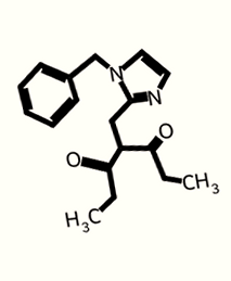 CCC(=O)C(Cc1nccn1Cc1ccccc1)C(=O)CC